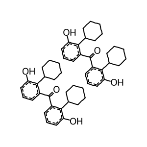 O=C(c1cccc(O)c1C1CCCCC1)c1cccc(O)c1C1CCCCC1.O=C(c1cccc(O)c1C1CCCCC1)c1cccc(O)c1C1CCCCC1